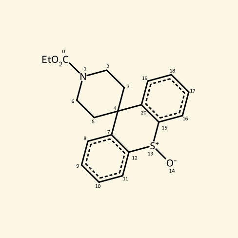 CCOC(=O)N1CCC2(CC1)c1ccccc1[S+]([O-])c1ccccc12